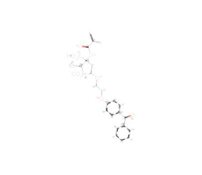 C=C(C)C(=O)OC(CCOCCOc1ccc(C(=O)c2ccccc2)cc1)(C(=O)O)C(CC)C(=O)O